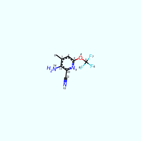 Cc1cc(OC(F)(F)F)nc(C#N)c1N